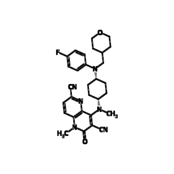 Cn1c(=O)c(C#N)c(N(C)[C@H]2CC[C@@H](N(CC3CCOCC3)c3ccc(F)cc3)CC2)c2nc(C#N)ccc21